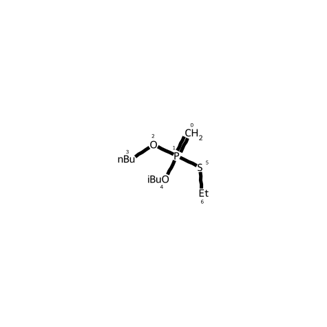 C=P(OCCCC)(OCC(C)C)SCC